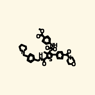 COC(=O)c1ccc(NS(=O)(=O)c2c(-c3ccc(C(=O)N4CCOCC4)cc3)sc(C(=O)NCc3ccc(CN4CCCCC4)cc3)c2C)cc1